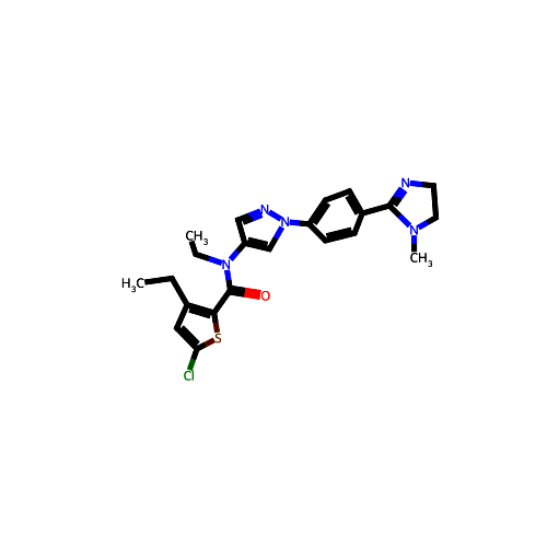 CCc1cc(Cl)sc1C(=O)N(CC)c1cnn(-c2ccc(C3=NCCN3C)cc2)c1